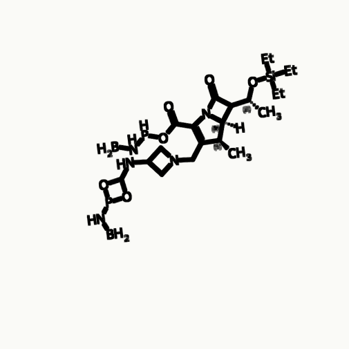 BNPOC(=O)C1=C(CN2CC(NC3OP(NB)O3)C2)[C@H](C)[C@@H]2C([C@@H](C)O[Si](CC)(CC)CC)C(=O)N12